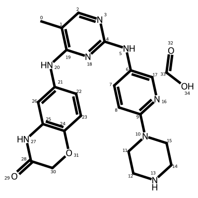 Cc1cnc(Nc2ccc(N3CCNCC3)nc2)nc1Nc1ccc2c(c1)NC(=O)CO2.O=CO